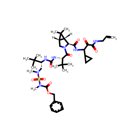 C=CCNC(=O)C(=O)C(NC(=O)[C@@H]1[C@@H]2[C@H](CN1C(=O)[C@@H](NC(=O)N[C@H](CN(C)S(=O)(=O)N(C)C(=O)OCc1ccccc1)C(C)(C)C)C(C)(C)C)C2(C)C)C1CC1